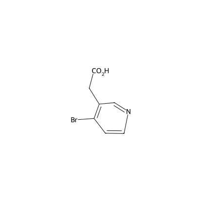 O=C(O)Cc1cnccc1Br